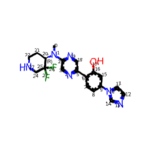 CN(c1cnc(-c2ccc(-n3ccnc3)cc2O)cn1)[C@@H]1CCNCC1(F)F